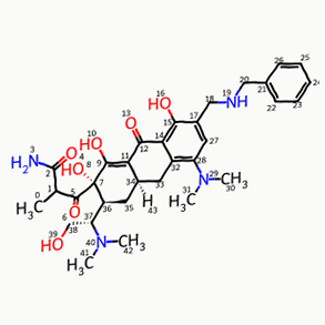 CC(C(N)=O)C(=O)[C@@]1(O)C(O)=C2C(=O)c3c(O)c(CNCc4ccccc4)cc(N(C)C)c3C[C@H]2C[C@H]1[C@@H](CO)N(C)C